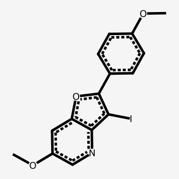 COc1ccc(-c2oc3cc(OC)cnc3c2I)cc1